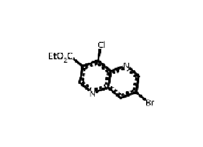 CCOC(=O)c1cnc2cc(Br)cnc2c1Cl